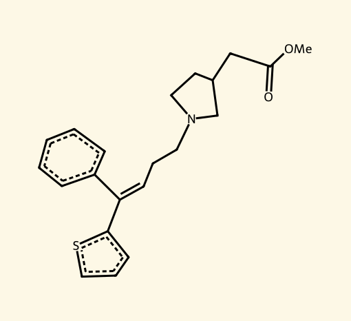 COC(=O)CC1CCN(CC/C=C(\c2ccccc2)c2cccs2)C1